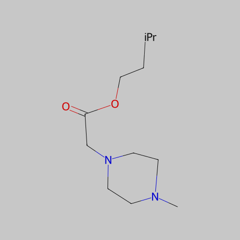 CC(C)CCOC(=O)CN1CCN(C)CC1